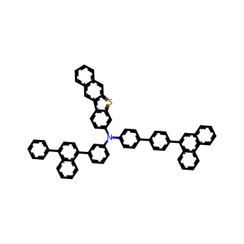 c1ccc(-c2ccc(-c3cccc(N(c4ccc(-c5ccc(-c6cc7ccccc7c7ccccc67)cc5)cc4)c4ccc5c(c4)sc4cc6ccccc6cc45)c3)c3ccccc23)cc1